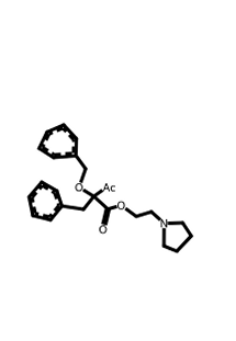 CC(=O)C(Cc1ccccc1)(OCc1ccccc1)C(=O)OCCN1CCCC1